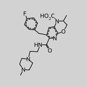 CC1COc2nc(C(=O)NCCN3CCN(C)CC3)c(Cc3ccc(F)cc3)cc2N1C(=O)O